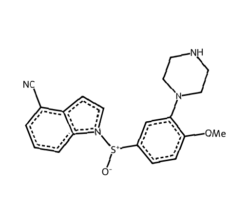 COc1ccc([S+]([O-])n2ccc3c(C#N)cccc32)cc1N1CCNCC1